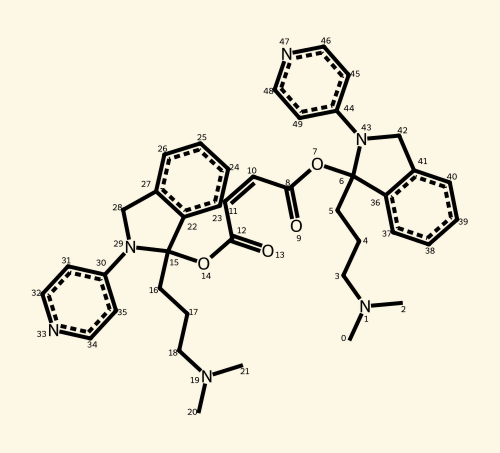 CN(C)CCCC1(OC(=O)/C=C\C(=O)OC2(CCCN(C)C)c3ccccc3CN2c2ccncc2)c2ccccc2CN1c1ccncc1